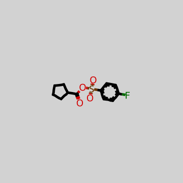 O=C(OS(=O)(=O)c1ccc(F)cc1)C1CCCC1